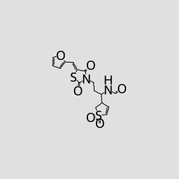 O=CNC(CCN1C(=O)SC(=Cc2ccco2)C1=O)C1C=CS(=O)(=O)C1